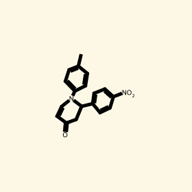 Cc1ccc(N2C=CC(=O)CC2c2ccc([N+](=O)[O-])cc2)cc1